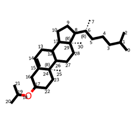 CC(C)CCC[C@@H](C)C1CCC2C3CC=C4CC(OC(C)C)CC[C@]4(C)C3CC[C@@]21C